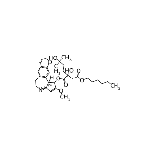 CCCCCCOC(=O)C[C@](O)(CCC(C)(C)O)C(=O)OC1C(OC)=CC23CCCN2CCc2cc4c(cc2[C@H]13)OCO4